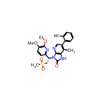 CCOc1nc([C@@H](CS(C)(=O)=O)n2c(=O)[nH]c3c(C)c(-c4ccccc4C#N)cnc32)ccc1OC